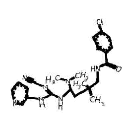 CN(C)C(CC(C)(C)CNC(=O)c1ccc(Cl)cc1)NC(=NC#N)Nc1cccnc1